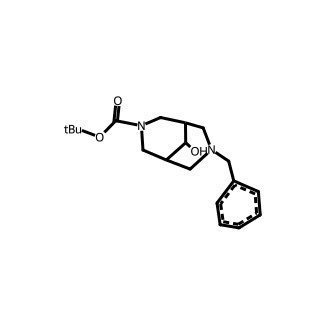 CC(C)(C)OC(=O)N1CC2CN(Cc3ccccc3)CC(C1)C2O